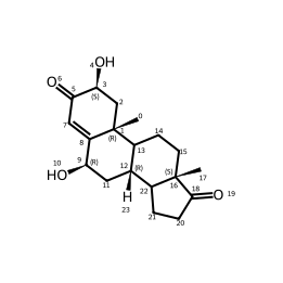 C[C@]12C[C@H](O)C(=O)C=C1[C@H](O)C[C@@H]1C2CC[C@]2(C)C(=O)CCC12